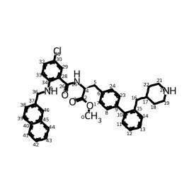 COC(=O)[C@H](Cc1ccc(-c2ccccc2CC2CCNCC2)cc1)NC(=O)c1cc(Cl)ccc1NCc1ccc2ccccc2c1